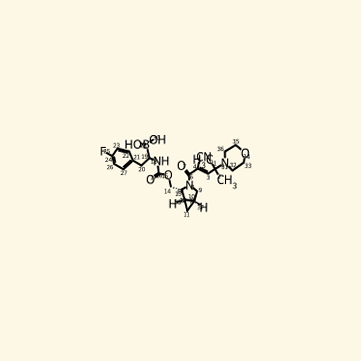 CC(C)(C=C(C#N)C(=O)N1C[C@@H]2C[C@@H]2[C@@H]1COC(=O)NC(Cc1ccc(F)cc1)B(O)O)N1CCOCC1